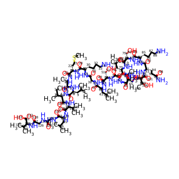 CC[C@H](C)[C@H](NC(=O)[C@H](CC(C)C)NC(=O)[C@H](C)NC(=O)[C@H](CCSC)NC(=O)[C@H](CCCCN)NC(=O)CNC(=O)[C@H](CC(C)C)NC(=O)[C@H](CO)NC(=O)[C@H](CC(C)C)NC(=O)[C@H](CO)NC(=O)[C@H](CC(C)C)NC(=O)[C@H](CO)NC(=O)[C@H](CCCCN)NC(=O)[C@H](CCC(N)=O)NC(=O)[C@@H](N)[C@@H](C)O)C(=O)N[C@H](C(=O)N[C@@H](CC(C)C)C(=O)NCC(=O)NCC(=O)N[C@H](C(=O)O)C(C)C)C(C)C